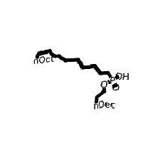 CCCCCCCC/C=C\CCCCCCCCP(=O)(O)OCCCCCCCCCCCC